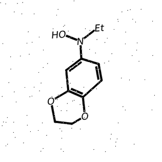 CCN(O)c1ccc2c(c1)OCCO2